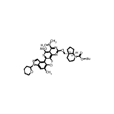 COc1nc(-c2c(Cl)c(C)cc3c2cnn3C2CCCCO2)c(F)c2nc(OC[C@]34CCC[C@H]3N(C(=O)OC(C)(C)C)CCC4)nc(N(C)C)c12